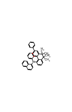 CC1(C)c2cc(-c3ccccc3)ccc2-c2c(N(c3ccccc3)c3cccc4ccccc34)cccc2C1(C)C